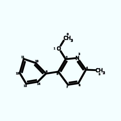 COc1nc(C)ccc1-c1ccccc1